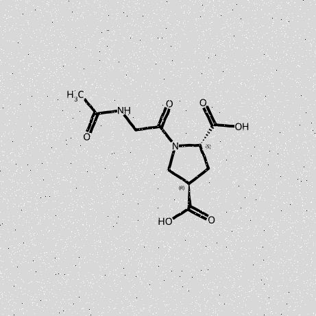 CC(=O)NCC(=O)N1C[C@H](C(=O)O)C[C@H]1C(=O)O